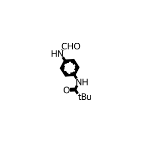 CC(C)(C)C(=O)Nc1ccc(NC=O)cc1